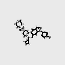 Cc1cc2c(cnn2-c2ccc(F)cc2)cc1[C@H]1CN(S(=O)(=O)N2CCOCC2)CCN1CC1CCC1